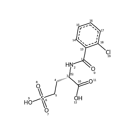 O=C(N[C@@H](CCS(=O)(=O)O)C(=O)O)c1ccccc1Cl